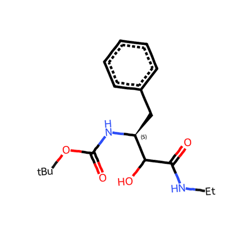 CCNC(=O)C(O)[C@H](Cc1ccccc1)NC(=O)OC(C)(C)C